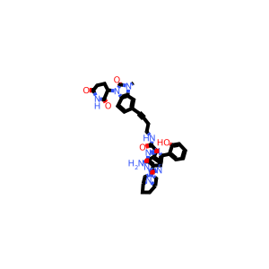 Cn1c(=O)n(C2CCC(=O)NC2=O)c2ccc(C#CCCNC(=O)Cc3cnc(N4C5CCC4CN(c4cc(-c6ccccc6O)nnc4N)C5)nc3)cc21